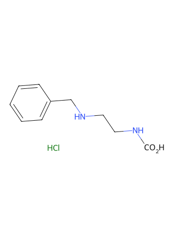 Cl.O=C(O)NCCNCc1ccccc1